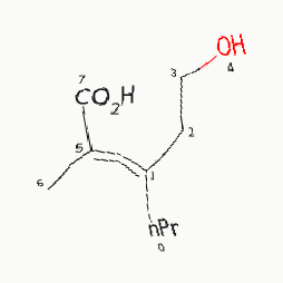 CCCC(CCO)=C(C)C(=O)O